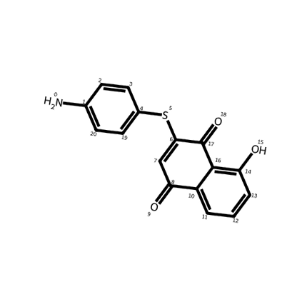 Nc1ccc(SC2=CC(=O)c3cccc(O)c3C2=O)cc1